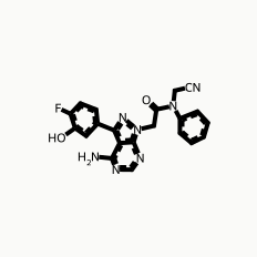 N#CCN(C(=O)Cn1nc(-c2ccc(F)c(O)c2)c2c(N)ncnc21)c1ccccc1